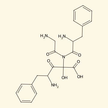 NCC(=O)N(C(=O)C(N)Cc1ccccc1)C(O)(C(=O)O)C(=O)C(N)Cc1ccccc1